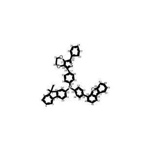 CC1(C)c2ccccc2-c2ccc(N(c3ccc(-c4sc(-c5ccccc5)c5c4OCCO5)cc3)c3ccc(-c4cccc5c4oc4ccccc45)cc3)cc21